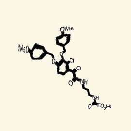 COc1ccc(COc2ccc(C(=O)C(=O)NCCCNC(=O)C(=O)O)c(Cl)c2OCc2ccc(OC)cc2)cc1